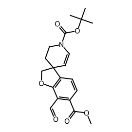 COC(=O)c1ccc2c(c1C=O)OCC21C=CN(C(=O)OC(C)(C)C)CC1